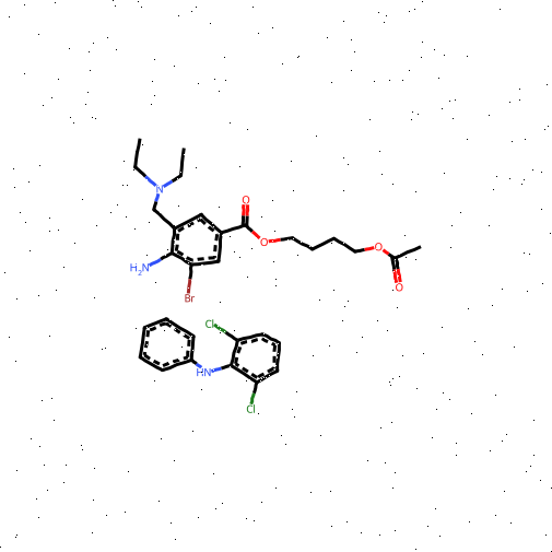 CCN(CC)Cc1cc(C(=O)OCCCCOC(C)=O)cc(Br)c1N.Clc1cccc(Cl)c1Nc1ccccc1